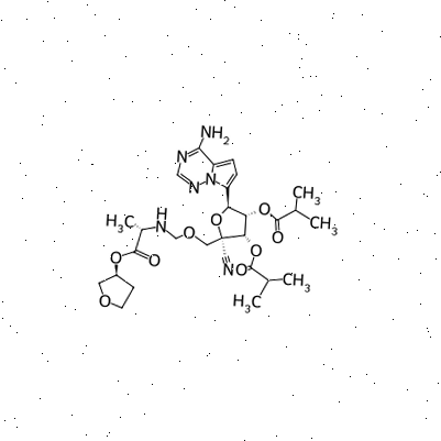 CC(C)C(=O)O[C@H]1[C@H](c2ccc3c(N)ncnn23)O[C@](C#N)(COCN[C@@H](C)C(=O)O[C@H]2CCOC2)[C@H]1OC(=O)C(C)C